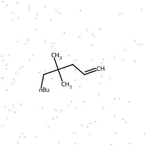 [CH]=CCC(C)(C)CCCCC